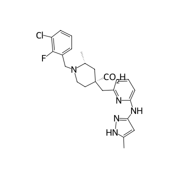 Cc1cc(Nc2cccc(C[C@@]3(C(=O)O)CCN(Cc4cccc(Cl)c4F)[C@H](C)C3)n2)n[nH]1